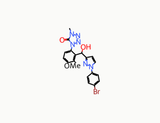 COc1cccc(-n2nnn(C)c2=O)c1C(O)c1ccn(-c2ccc(Br)cc2)n1